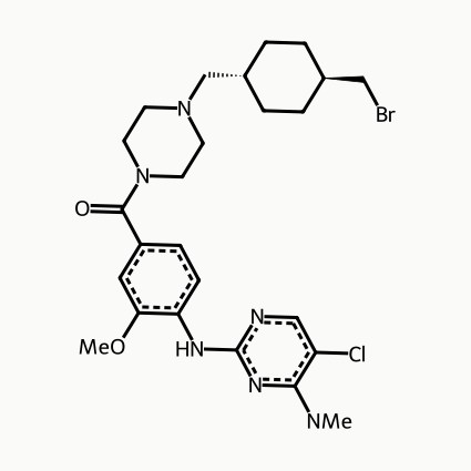 CNc1nc(Nc2ccc(C(=O)N3CCN(C[C@H]4CC[C@H](CBr)CC4)CC3)cc2OC)ncc1Cl